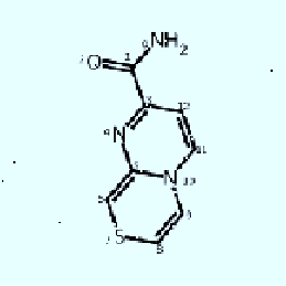 NC(=O)C1=NC2=CSC=CN2C=C1